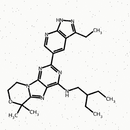 CCc1n[nH]c2ncc(-c3nc(NCC(CC)CC)c4nc5n(c4n3)CCOC5(C)C)cc12